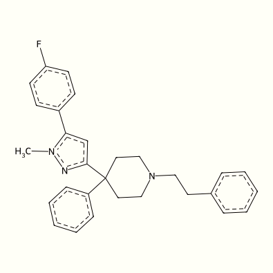 Cn1nc(C2(c3ccccc3)CCN(CCc3ccccc3)CC2)cc1-c1ccc(F)cc1